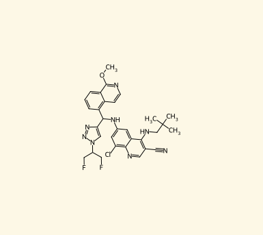 COc1nccc2c(C(Nc3cc(Cl)c4ncc(C#N)c(NCC(C)(C)C)c4c3)c3cn(C(CF)CF)nn3)cccc12